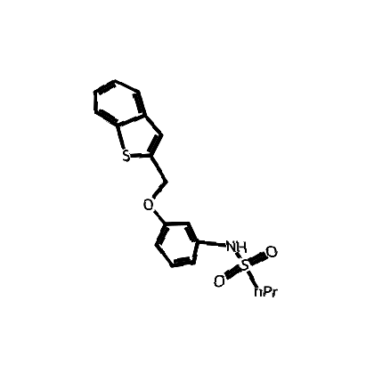 CCCS(=O)(=O)Nc1cccc(OCc2cc3ccccc3s2)c1